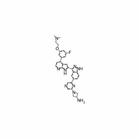 CN(C)CCOc1cc(F)cc(-c2ccnc3[nH]c(-c4n[nH]c5ccc(-c6cncc(N7CC(N)C7)n6)cc45)cc23)c1